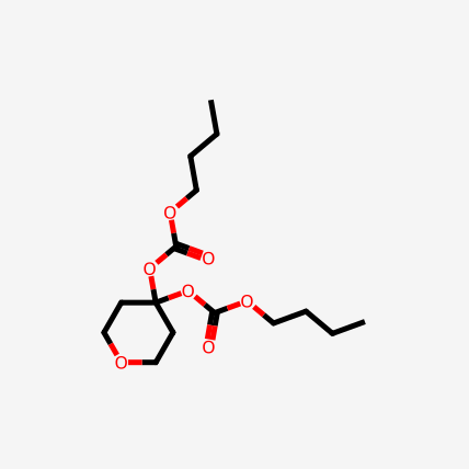 CCCCOC(=O)OC1(OC(=O)OCCCC)CCOCC1